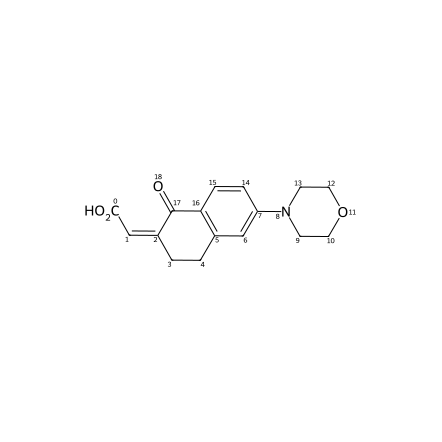 O=C(O)C=C1CCc2cc(N3CCOCC3)ccc2C1=O